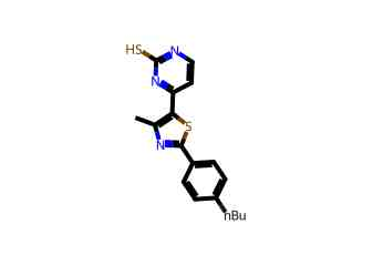 CCCCc1ccc(-c2nc(C)c(-c3ccnc(S)n3)s2)cc1